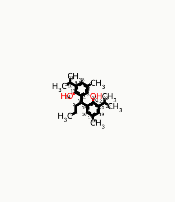 CCCC(c1cc(C)cc(C(C)C)c1O)c1cc(C)cc(C(C)C)c1O